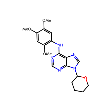 COc1cc(OC)c(OC)cc1Nc1ncnc2c1ncn2C1CCCCO1